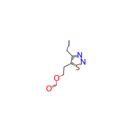 O=COCCc1snnc1CI